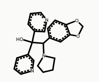 OC(c1cccnc1)(c1cccnc1)C(c1ccc2c(c1)OCO2)N1CCCC1